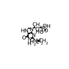 C=C.CC(OCP(=O)(O)O)N1CNc2c1nc(N)[nH]c2=O